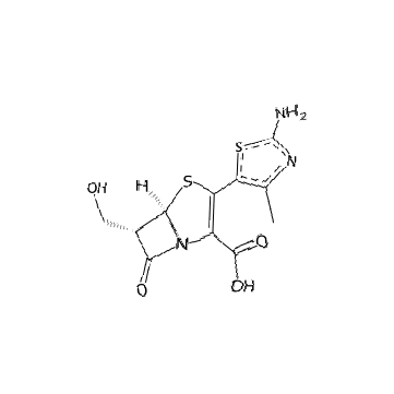 Cc1nc(N)sc1C1=C(C(=O)O)N2C(=O)[C@H](CO)[C@H]2S1